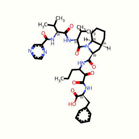 CCCC(NC(=O)[C@@H]1C[C@@H]2CCCC[C@@H]2N1C(=O)[C@@H](NC(=O)[C@@H](NC(=O)c1cnccn1)C(C)C)C(C)C)C(=O)C(=O)N[C@@H](Cc1ccccc1)C(=O)O